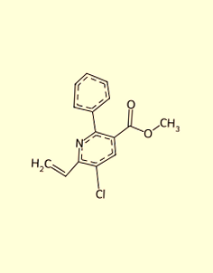 C=Cc1nc(-c2ccccc2)c(C(=O)OC)cc1Cl